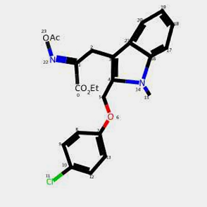 CCOC(=O)/C(Cc1c(COc2ccc(Cl)cc2)n(C)c2ccccc12)=N/OC(C)=O